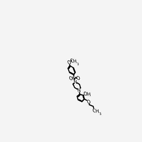 CCCOc1cccc(N2CCN(S(=O)(=O)c3ccc(OC)cc3)CC2)c1O